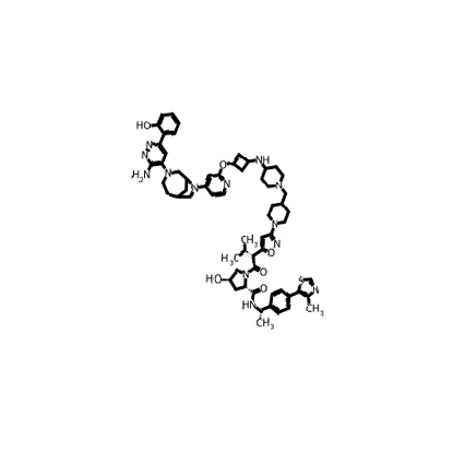 Cc1ncsc1-c1ccc([C@H](C)NC(=O)[C@@H]2C[C@@H](O)CN2C(=O)[C@@H](c2cc(N3CCC(CN4CCC(NC5CC(Oc6cc(N7CC8CCN(c9cc(-c%10ccccc%10O)nnc9N)CC7C8)ccn6)C5)CC4)CC3)no2)C(C)C)cc1